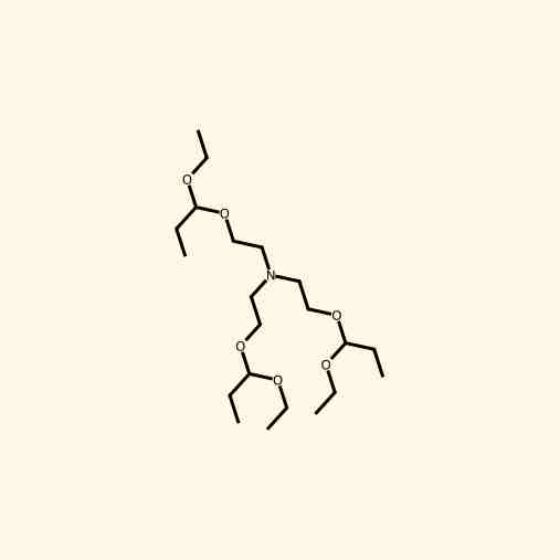 CCOC(CC)OCCN(CCOC(CC)OCC)CCOC(CC)OCC